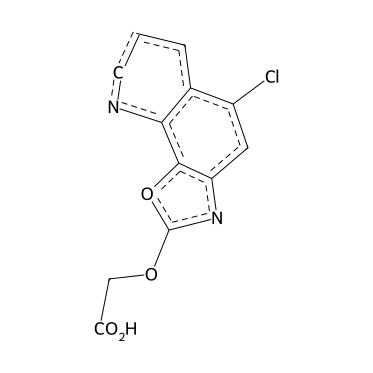 O=C(O)COc1nc2cc(Cl)c3cccnc3c2o1